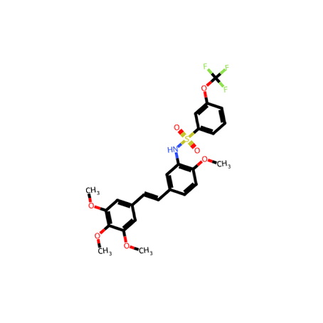 COc1ccc(C=Cc2cc(OC)c(OC)c(OC)c2)cc1NS(=O)(=O)c1cccc(OC(F)(F)F)c1